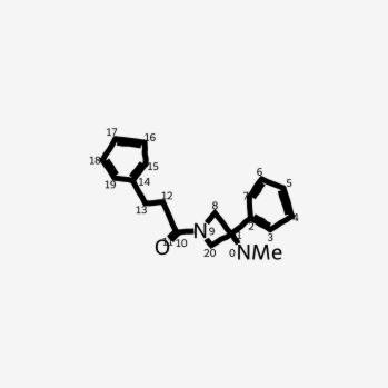 CNC1(c2ccccc2)CN(C(=O)CCc2ccccc2)C1